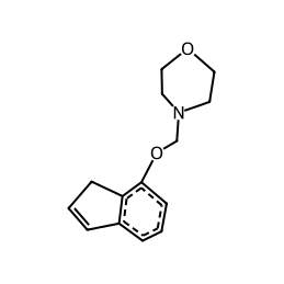 C1=Cc2cccc(OCN3CCOCC3)c2C1